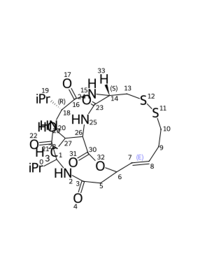 CC(C)C1NC(=O)CC2/C=C/CCSSC[C@@H](NC(=O)[C@@H](C(C)C)NC1=O)C(=O)NC(C(C)O)C(=O)O2